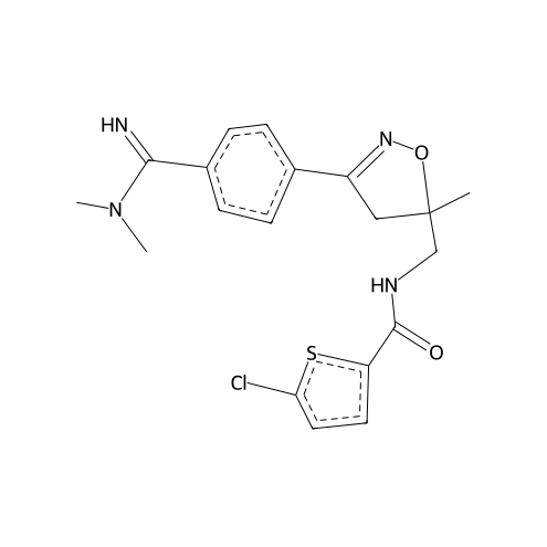 CN(C)C(=N)c1ccc(C2=NOC(C)(CNC(=O)c3ccc(Cl)s3)C2)cc1